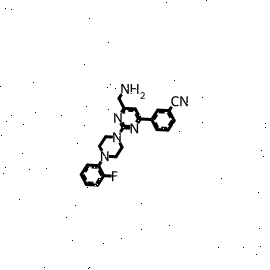 N#Cc1cccc(-c2cc(CN)nc(N3CCN(c4ccccc4F)CC3)n2)c1